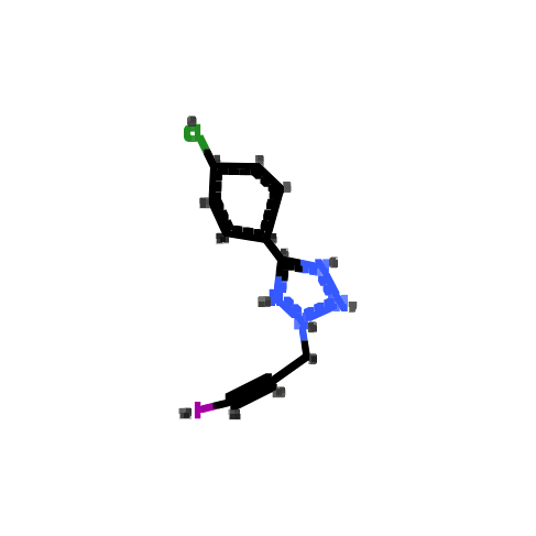 Clc1ccc(-c2nnn(CC#CI)n2)cc1